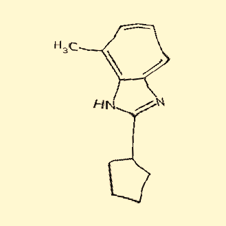 Cc1cccc2nc(C3CCCC3)[nH]c12